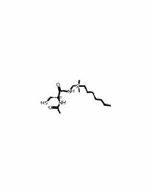 CCCCCCC[Si](C)(C)CNC(=O)[C@H](CS)NC(C)=O